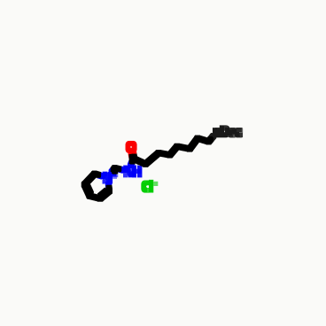 CCCCCCCCCCCCCCCCCC(=O)NC=[N+]1C=CC=CC1.[Cl-]